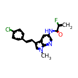 C=C(F)C(=O)Nc1cnc2c(c1)c(C=Cc1ccc(Cl)cc1)cn2C